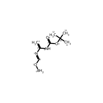 BOC=NC(=C)NC(=O)OC(C)(C)C